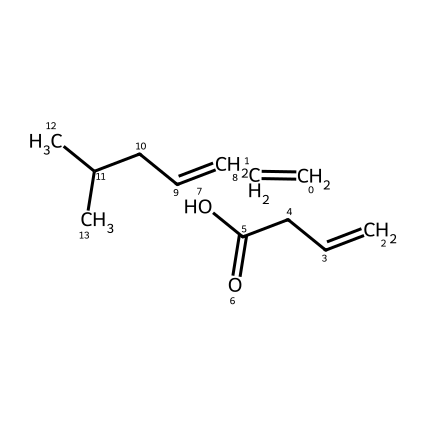 C=C.C=CCC(=O)O.C=CCC(C)C